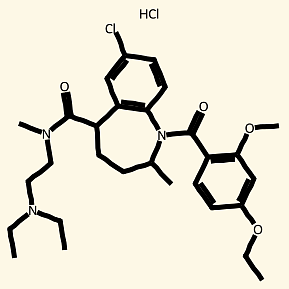 CCOc1ccc(C(=O)N2c3ccc(Cl)cc3C(C(=O)N(C)CCN(CC)CC)CCC2C)c(OC)c1.Cl